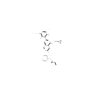 C=CC(=O)N[C@H]1CCOC[C@H]1Nc1cc2c(OCC3CC3)nc(-c3c(Cl)c(OC)cc(OC)c3Cl)cc2cn1